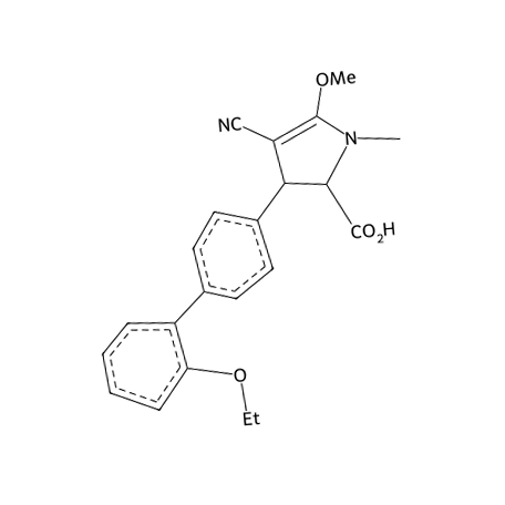 CCOc1ccccc1-c1ccc(C2C(C#N)=C(OC)N(C)C2C(=O)O)cc1